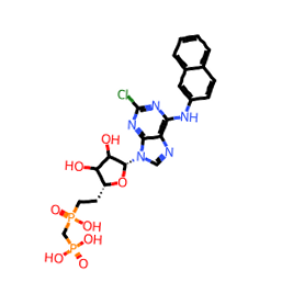 O=P(O)(O)CP(=O)(O)CC[C@H]1O[C@@H](n2cnc3c(Nc4ccc5ccccc5c4)nc(Cl)nc32)C(O)C1O